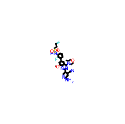 COc1cc(-c2cccc(NS(=O)(=O)CCCF)c2F)cc2c(N3CCOCC3C)nc(-c3cnc(N)cc3C#N)nc12